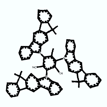 Cc1c(-n2c3ccccc3c3cc4c(cc32)C(C)(C)c2ccccc2-4)c(C#N)c(-n2c3ccccc3c3cc4c(cc32)C(C)(C)c2ccccc2-4)c(C#N)c1-n1c2ccccc2c2cc3c(cc21)C(C)(C)c1ccccc1-3